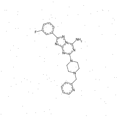 Nc1nc(N2CCN(Cc3ccccn3)CC2)nc2nc(-c3cccc(F)c3)nn12